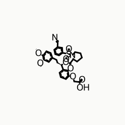 COc1ccc(CC[C@@H](OC(=O)C2CCCCN2S(=O)(=O)c2cccc(C#N)c2)c2cccc(OCC(=O)O)c2)cc1OC